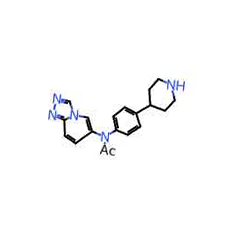 CC(=O)N(c1ccc(C2CCNCC2)cc1)c1ccc2nncn2c1